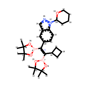 CC1(C)OB(/C(=C(\B2OC(C)(C)C(C)(C)O2)C2CCC2)c2ccc3c(cnn3C3CCCCO3)c2)OC1(C)C